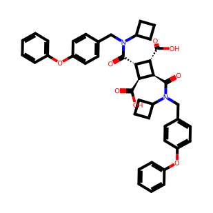 O=C(O)[C@H]1[C@H](C(=O)N(Cc2ccc(Oc3ccccc3)cc2)C2CCC2)[C@H](C(=O)O)[C@H]1C(=O)N(Cc1ccc(Oc2ccccc2)cc1)C1CCC1